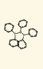 c1ccc(B(P(c2ccccc2)c2ccccc2)P(c2ccccc2)c2ccccc2)cc1